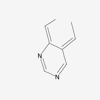 C/C=c1/cncn/c1=C/C